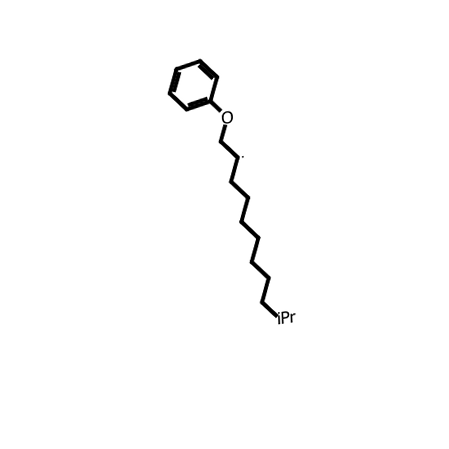 CC(C)CCCCCCC[CH]COc1ccccc1